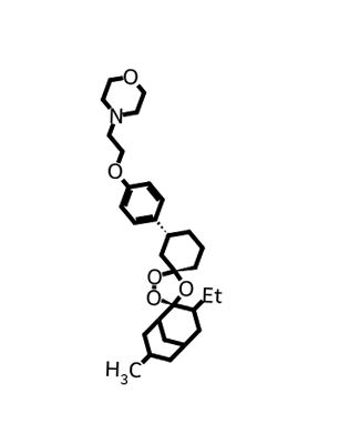 CCC1CC2CC(C)CC(C2)[C@@]12OO[C@@]1(CCC[C@@H](c3ccc(OCCN4CCOCC4)cc3)C1)O2